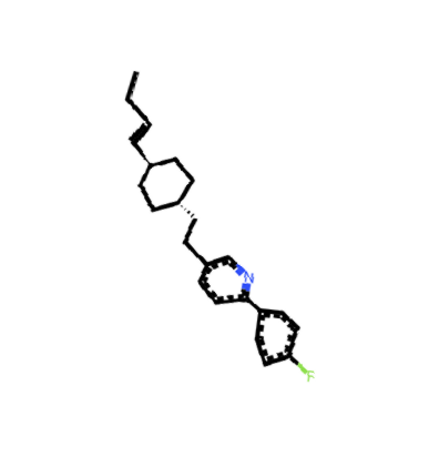 CCC=C[C@H]1CC[C@H](CCc2ccc(-c3ccc(F)cc3)nc2)CC1